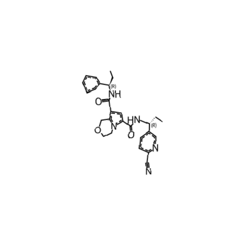 CC[C@@H](NC(=O)c1cc(C(=O)N[C@H](CC)c2ccc(C#N)nc2)n2c1COCC2)c1ccccc1